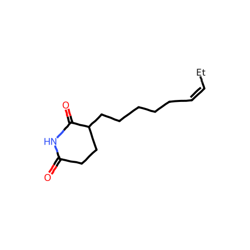 CC/C=C\CCCCCC1CCC(=O)NC1=O